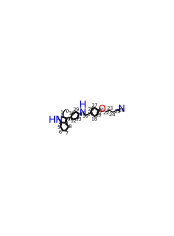 CCc1[nH]c2ccccc2c1-c1ccc(NCc2ccc(OCCCC#N)cc2)cc1